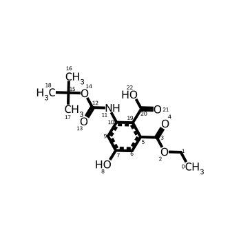 CCOC(=O)c1cc(O)cc(NC(=O)OC(C)(C)C)c1C(=O)O